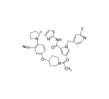 CC(=O)N1CCC(Oc2ccc(N3CCC[C@@H]3c3csc(NC(=O)c4cccn4Cc4ccnc(F)c4)n3)c(C#N)c2)CC1